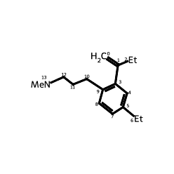 C=C(CC)c1cc(CC)ccc1CCCNC